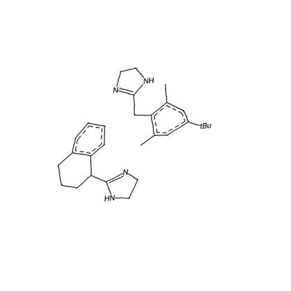 Cc1cc(C(C)(C)C)cc(C)c1CC1=NCCN1.c1ccc2c(c1)CCCC2C1=NCCN1